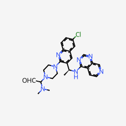 C[C@H](Nc1ncnc2cnccc12)c1cc2cc(Cl)ccc2nc1N1CCN(C(C=O)N(C)C)CC1